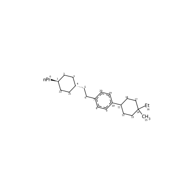 CCC[C@H]1CC[C@H](CCc2ccc(C3CCC(C)(CC)CC3)cc2)CC1